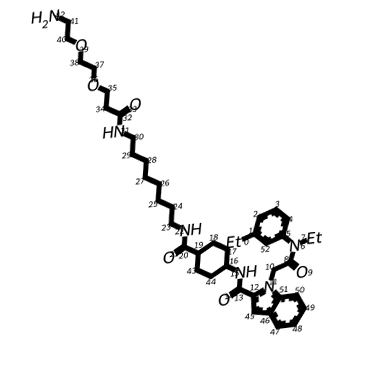 CCc1cccc(N(CC)C(=O)Cn2c(C(=O)NC3CCC(C(=O)NCCCCCCCCNC(=O)CCOCCOCCN)CC3)cc3ccccc32)c1